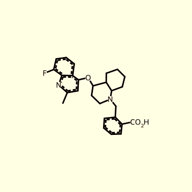 Cc1cc(OC2CCN(Cc3ccccc3C(=O)O)C3CCCCC23)c2cccc(F)c2n1